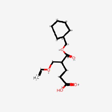 C=COCC(CCC(=O)O)C(=O)OCC1CCCCC1